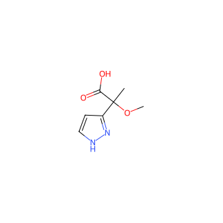 COC(C)(C(=O)O)c1cc[nH]n1